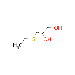 CCSCC(O)CO